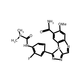 COc1cc2ncc3nnc(-c4ccc(NC(=O)N(C)C)c(F)c4)n3c2cc1C(N)=O